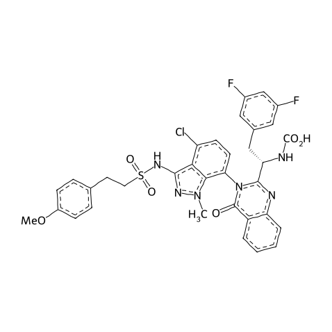 COc1ccc(CCS(=O)(=O)Nc2nn(C)c3c(-n4c([C@H](Cc5cc(F)cc(F)c5)NC(=O)O)nc5ccccc5c4=O)ccc(Cl)c23)cc1